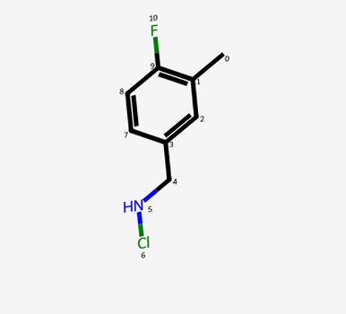 Cc1cc(CNCl)ccc1F